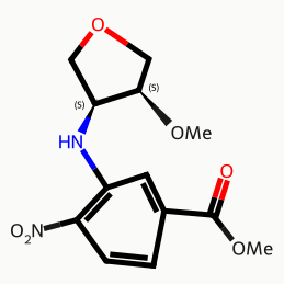 COC(=O)c1ccc([N+](=O)[O-])c(N[C@H]2COC[C@H]2OC)c1